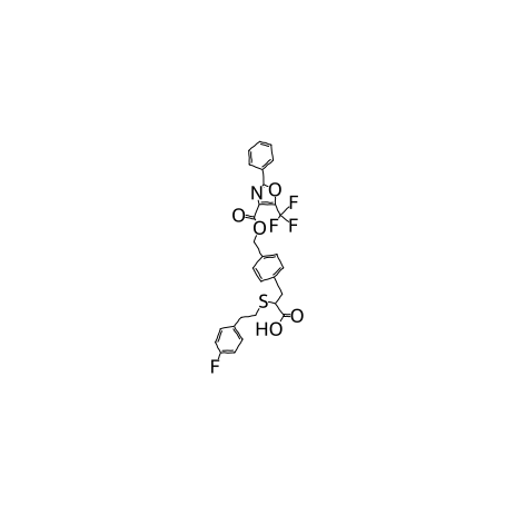 O=C(OCc1ccc(CC(SCCc2ccc(F)cc2)C(=O)O)cc1)c1nc(-c2ccccc2)oc1C(F)(F)F